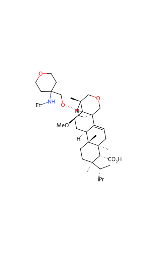 CCNC1(CO[C@H]2[C@H](OC)C[C@@]34COC[C@]2(C)[C@@H]3CC[C@H]2C4=CC[C@@]3(C)[C@H](C(=O)O)[C@@](C)([C@H](C)C(C)C)CC[C@]23C)CCOCC1